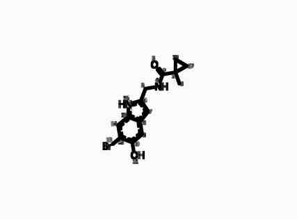 CC1(C(=O)NCc2cc3cc(O)c(Br)cc3[nH]2)CC1